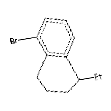 CCC1CCCc2c(Br)cccc21